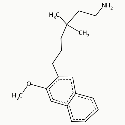 COc1cc2ccccc2cc1CCCC(C)(C)CCN